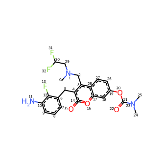 CN(Cc1c(Cc2cccc(N)c2F)c(=O)oc2cc(OC(=O)N(C)C)ccc12)CC(F)F